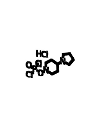 Cl.O=P(Cl)(Cl)ON1CCC(N2CCCC2)CC1